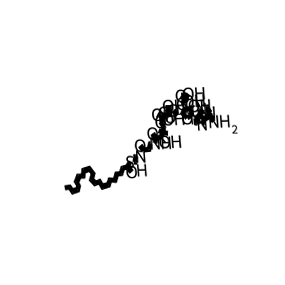 CC/C=C\C/C=C\C/C=C\C/C=C\C/C=C\CCCCCC(=O)SCCNC(=O)CCNC(=O)[C@H](O)C(C)(C)COP(=O)(O)OP(=O)(O)OC[C@H]1O[C@@H](n2cnc3c(N)ncnc32)[C@H](O)[C@@H]1OP(=O)(O)O